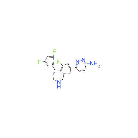 Nc1ccc(-c2cc(F)c3c(c2)CNCCC3c2cc(F)cc(F)c2)nn1